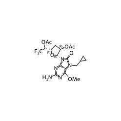 COc1nc(N)nc2c1n(CC1CC1)c(=O)n2[C@@H]1O[C@H](C(OC(C)=O)C(F)(F)F)C[C@H]1OC(C)=O